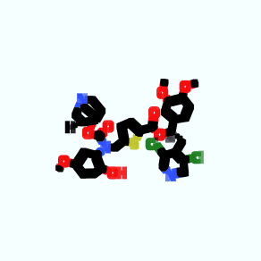 COc1ccc(O)c(N(Cc2ccc(C(=O)O[C@@H](Cc3c(Cl)cncc3Cl)c3ccc(OC)c(OC)c3)s2)C(=O)O[C@H]2CN3CCC2CC3)c1